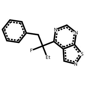 CCC(F)(Cc1ccccc1)c1ncnc2sncc12